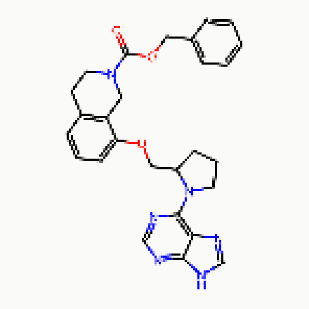 O=C(OCc1ccccc1)N1CCc2cccc(OCC3CCCN3c3ncnc4[nH]cnc34)c2C1